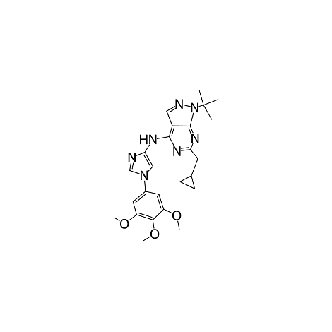 COc1cc(-n2cnc(Nc3nc(CC4CC4)nc4c3cnn4C(C)(C)C)c2)cc(OC)c1OC